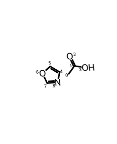 CC(=O)O.c1cocn1